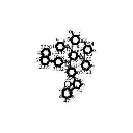 Cc1cccc(N(c2ccccc2)c2cc(N(c3ccc(-c4cccc5ccccc45)cc3)c3ccc(-c4cccc5c4oc4ccccc45)cc3)cc(N(c3ccccc3)c3cccc(C)c3)c2)c1